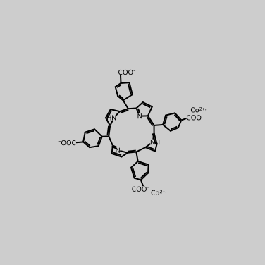 O=C([O-])c1ccc(-c2c3nc(c(-c4ccc(C(=O)[O-])cc4)c4ccc([nH]4)c(-c4ccc(C(=O)[O-])cc4)c4nc(c(-c5ccc(C(=O)[O-])cc5)c5ccc2[nH]5)C=C4)C=C3)cc1.[Co+2].[Co+2]